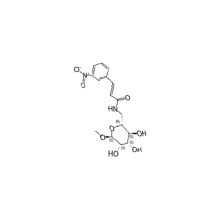 CO[C@H]1O[C@H](CNC(=O)C=Cc2cccc([N+](=O)[O-])c2)[C@@H](O)[C@H](O)[C@@H]1O